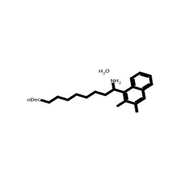 CCCCCCCCCCCCCCCCCC(N)c1c(C)c(C)cc2ccccc12.O